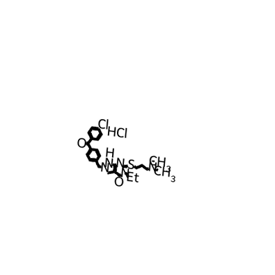 CCn1c(SCCCN(C)C)nc2c(c1=O)CN(Cc1ccc(C(=O)c3ccc(Cl)cc3)cc1)N2.Cl